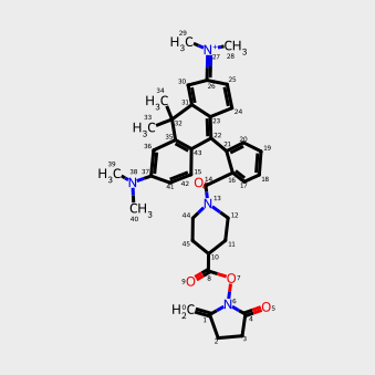 C=C1CCC(=O)N1OC(=O)C1CCN(C(=O)c2ccccc2C2=C3C=CC(=[N+](C)C)C=C3C(C)(C)c3cc(N(C)C)ccc32)CC1